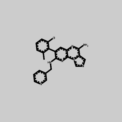 Cc1cccc(Cl)c1-c1cc2nc(N)c3cncn3c2nc1NCc1cccnc1